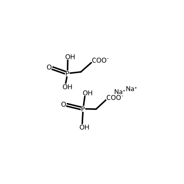 O=C([O-])CP(=O)(O)O.O=C([O-])CP(=O)(O)O.[Na+].[Na+]